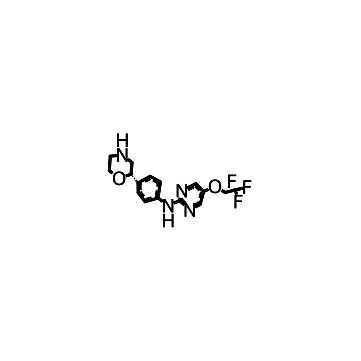 FC(F)(F)COc1cnc(Nc2ccc([C@H]3CNCCO3)cc2)nc1